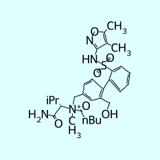 CCCCC(=O)[N+](C)(Cc1ccc(-c2ccccc2S(=O)(=O)Nc2noc(C)c2C)c(CO)c1)[C@H](C(N)=O)C(C)C